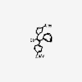 CCC(=C(c1ccccc1)c1ccc(OC)cc1)C1CCC(O)C1